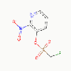 O=[N+]([O-])c1ncccc1OS(=O)(=O)CF